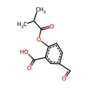 CC(C)C(=O)Oc1ccc(C=O)cc1C(=O)O